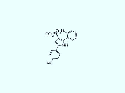 CCOC(=O)c1cc(-c2ccc(C#N)cc2)[nH]c1-c1ccccc1[N+](=O)[O-]